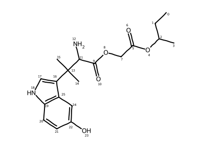 CCC(C)OC(=O)COC(=O)C(N)C(C)(C)c1c[nH]c2ccc(O)cc12